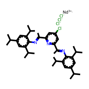 CC(=Nc1c(C(C)C)cc(C(C)C)cc1C(C)C)c1cc(Cl)cc(C(C)=Nc2c(C(C)C)cc(C(C)C)cc2C(C)C)n1.[Cl-].[Cl-].[Cl-].[Nd+3]